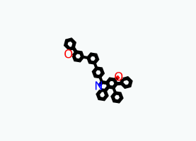 c1ccc(-c2c3c(cc4c(-c5ccc(-c6cccc(-c7ccc8oc9ccccc9c8c7)c6)cc5)nc5ccccc5c24)oc2ccccc23)cc1